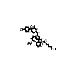 Cl.Cl.O=C(NCCCO)NCC(CCCN1CCC(O)(c2ccc(Cl)cc2)CC1)(c1ccccc1)c1ccccn1